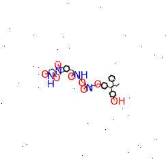 CC/C(=C(\c1ccc(O)cc1)c1ccc(OCCN(C)C(=O)COCCNC(=O)Cc2ccc3c(c2)CN(C2CCC(=O)NC2=O)C3=O)cc1)c1ccccc1